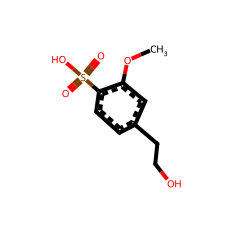 COc1cc(CCO)ccc1S(=O)(=O)O